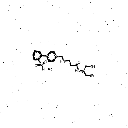 CC(=O)NS(=O)(=O)c1ccccc1-c1ccc(CNCCC(=O)N[C@@H](CS)CC(C)C)cc1